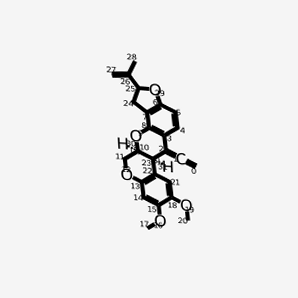 C=C=C1c2ccc3c(c2O[C@@H]2COc4cc(OC)c(OC)cc4[C@H]12)CC(C(=C)C)O3